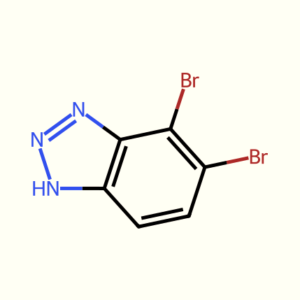 Brc1ccc2[nH]nnc2c1Br